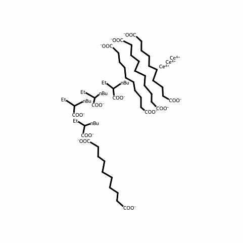 CCCCC(CC)C(=O)[O-].CCCCC(CC)C(=O)[O-].CCCCC(CC)C(=O)[O-].CCCCC(CC)C(=O)[O-].O=C([O-])CCCCCCCCC(=O)[O-].O=C([O-])CCCCCCCCC(=O)[O-].O=C([O-])CCCCCCCCC(=O)[O-].O=C([O-])CCCCCCCCC(=O)[O-].[Ce+4].[Ce+4].[Ce+4]